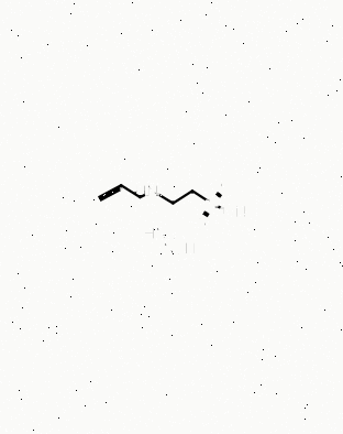 C=CCNCCS(=O)(=O)O.[NaH].[NaH]